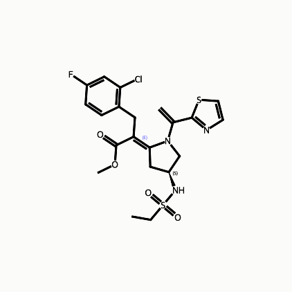 C=C(c1nccs1)N1C[C@@H](NS(=O)(=O)CC)C/C1=C(/Cc1ccc(F)cc1Cl)C(=O)OC